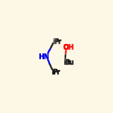 CC(C)NC(C)C.CCC(C)O